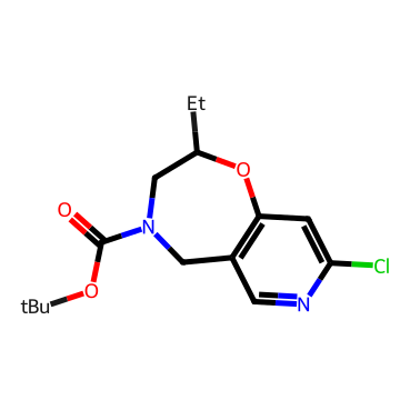 CCC1CN(C(=O)OC(C)(C)C)Cc2cnc(Cl)cc2O1